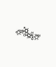 O=C(Nc1cc(-c2ccc(F)c(NCC3CCOCC3)c2)c(Cl)cn1)[C@@H]1CCCNC1